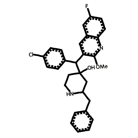 COc1nc2ccc(F)cc2cc1C(c1ccc(Cl)cc1)C1(O)CCNC(Cc2ccccc2)C1